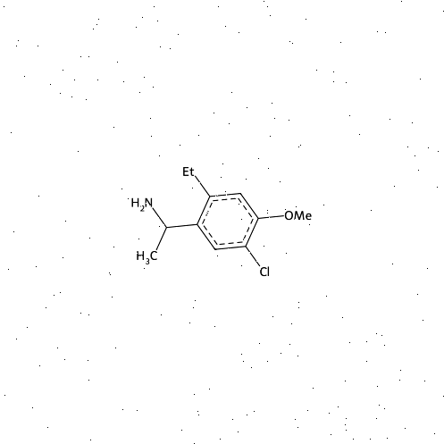 CCc1cc(OC)c(Cl)cc1C(C)N